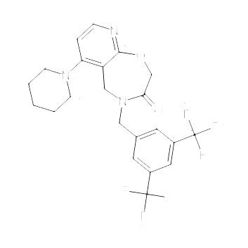 O=C1COc2nccc(N3CCCCC3)c2CN1Cc1cc(C(F)(F)F)cc(C(F)(F)F)c1